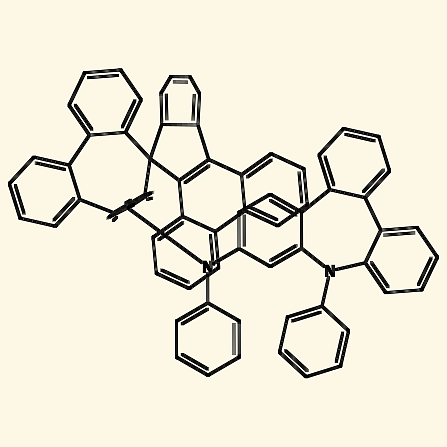 c1ccc(N(c2ccc3c(c2)N(c2ccccc2)c2ccccc2-c2ccccc2-3)c2ccc3c(c2)C2(c4ccccc4-c4ccccc4-3)c3ccccc3-c3c2c2ccccc2c2ccccc32)cc1